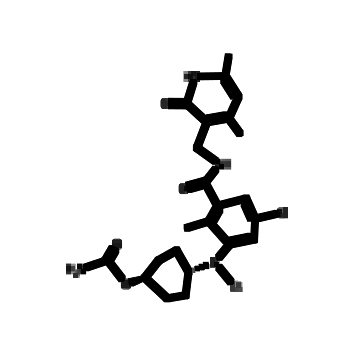 CCN(c1cc(Cl)cc(C(=O)NCc2c(C)cc(C)[nH]c2=O)c1C)[C@H]1CC[C@H](OC(N)=O)CC1